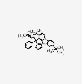 C=CCCC(C1=CC=CC1)(c1ccccc1)c1c(C(C)(C)C)ccc2c1Cc1cc(C(C)(C)C)ccc1-2